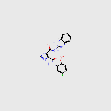 COC1C=CC(Cl)=CC1NC(=O)c1nc[nH]c1C(=O)Nc1nc2ccccc2[nH]1